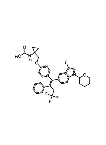 O=C(O)NC1(COc2ccc(/C(=C(/CC(F)(F)F)c3ccccc3)c3ccc4c(c3)c(F)nn4C3CCCCO3)cn2)CC1